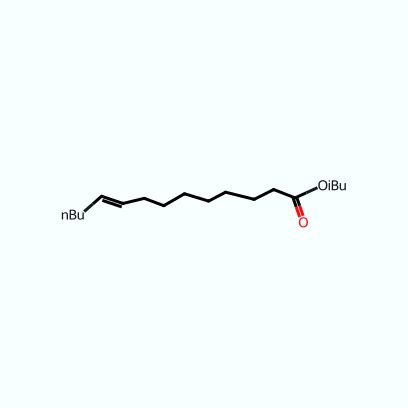 CCCCC=CCCCCCCCC(=O)OCC(C)C